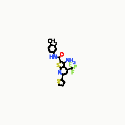 Cc1ccc(NC(=O)c2sc3nc(-c4cccs4)cc(C(F)(F)F)c3c2N)cc1